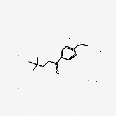 CSc1ccc(C(=O)CCC(C)(C)C)cc1